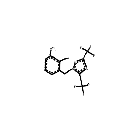 Cc1c(N)cccc1Cn1nc(C(F)(F)F)nc1C(F)(F)F